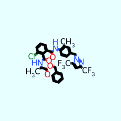 Cc1cc(Cn2nc(C(F)(F)F)cc2C(F)(F)F)ccc1NC(=O)c1cccc(Cl)c1C(=O)NC(C)C(=O)OCc1ccccc1